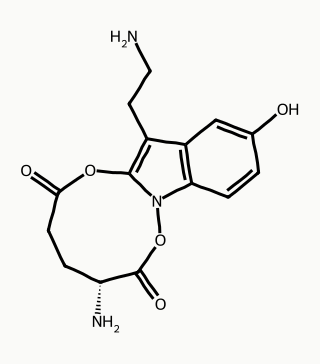 NCCc1c2n(c3ccc(O)cc13)OC(=O)[C@H](N)CCC(=O)O2